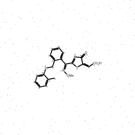 CCOC(=O)C=C1SC(C(=NOC)c2ccccc2COc2ccccc2C)=NC1=O